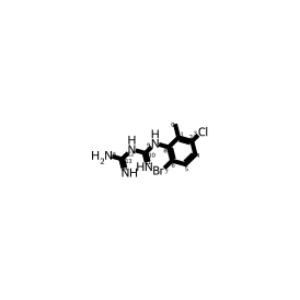 Cc1c(Cl)ccc(Br)c1NC(=N)NC(=N)N